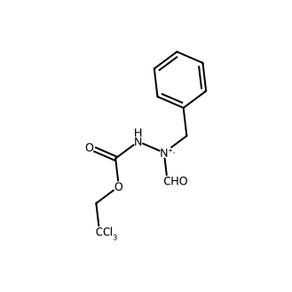 O=C[N+](Cc1ccccc1)NC(=O)OCC(Cl)(Cl)Cl